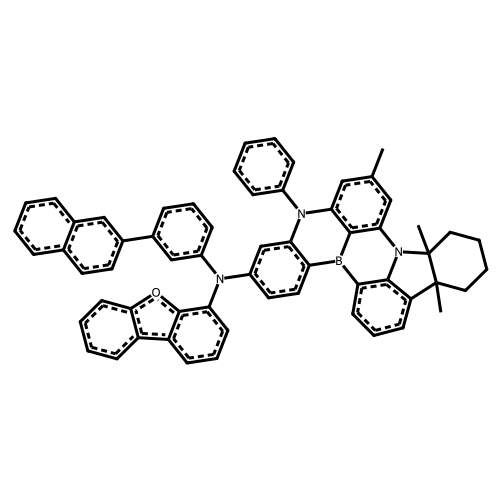 Cc1cc2c3c(c1)N1c4c(cccc4C4(C)CCCCC14C)B3c1ccc(N(c3cccc(-c4ccc5ccccc5c4)c3)c3cccc4c3oc3ccccc34)cc1N2c1ccccc1